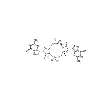 Nc1nc2c(ncn2[C@@H]2O[C@@H]3CO[P@@](=O)(S)O[C@@H]4C(CO[P@](=O)(S)O[C@H]3[C@H]2F)O[C@@H](n2cnc3c(=O)[nH]c(N)nc32)[C@@H]4F)c(=O)[nH]1